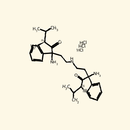 CC(C)[C@H](N)C(=O)C(N)(CCNCCC(N)(C(=O)[C@@H](N)C(C)C)c1ccccc1)c1ccccc1.Cl.Cl.Cl